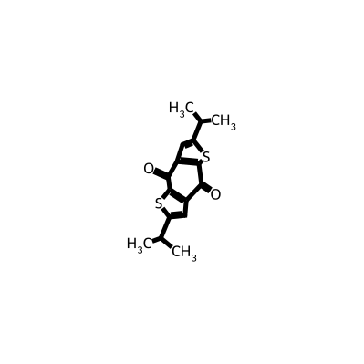 CC(C)c1cc2c(s1)C(=O)c1cc(C(C)C)sc1C2=O